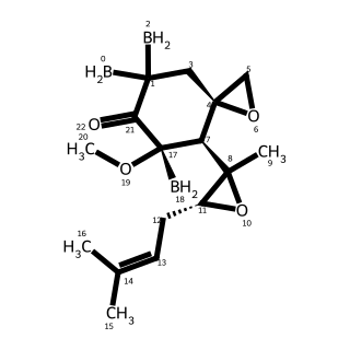 BC1(B)C[C@]2(CO2)[C@@H](C2(C)O[C@@H]2CC=C(C)C)[C@](B)(OC)C1=O